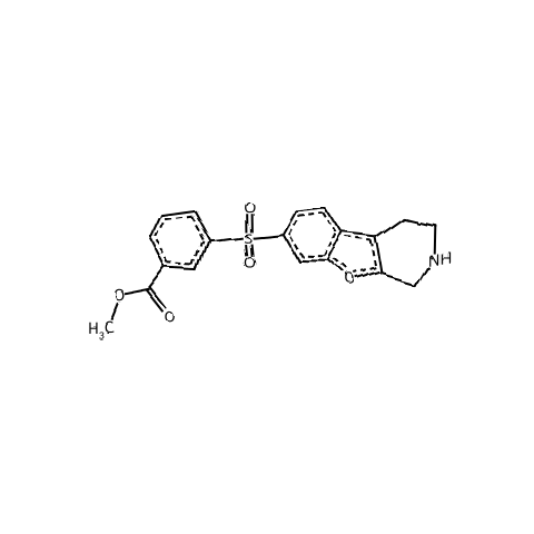 COC(=O)c1cccc(S(=O)(=O)c2ccc3c4c(oc3c2)CNCC4)c1